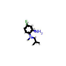 CC(C)CN(C)c1ccc(F)cc1N